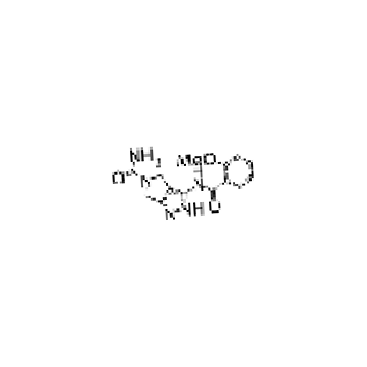 COc1ccccc1C(=O)Nc1[nH]nc2c1CN(C(N)=O)C2